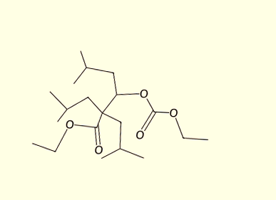 CCOC(=O)OC(CC(C)C)C(CC(C)C)(CC(C)C)C(=O)OCC